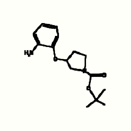 CC(C)(C)OC(=O)N1CCC(Oc2ccccc2N)C1